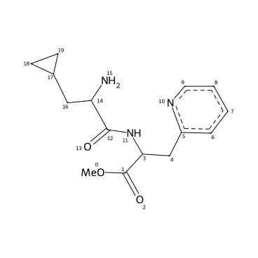 COC(=O)C(Cc1ccccn1)NC(=O)C(N)CC1CC1